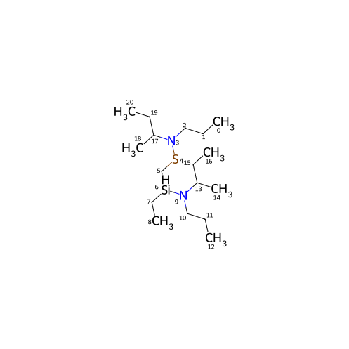 CCCN(SC[SiH](CC)N(CCC)C(C)CC)C(C)CC